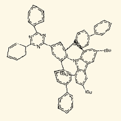 CC(C)(C)c1cc(C(C)(C)C)c2c(c1)c1cc(C(C)(C)C)cc(C(C)(C)C)c1n2-c1c(-c2ccc(-c3ccccc3)cc2)cc(-c2nc(-c3ccccc3)nc(C3C=CC=CC3)n2)cc1-c1ccc(-c2ccccc2)cc1